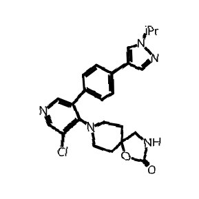 CC(C)n1cc(-c2ccc(-c3cncc(Cl)c3N3CCC4(CC3)CNC(=O)O4)cc2)cn1